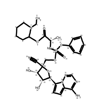 CCN1CCCCC1OC(=O)[C@H](C)NP(=O)(OC[C@@]1(C#N)O[C@@H](c2ccc3c(N)ncnn23)[C@H](O)[C@@H]1O)Oc1ccccc1